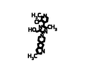 Cc1cnc2c(c1)CC1(CCN(c3nc(C)c(-c4ccnc(C)c4Cl)nc3CO)CC1)C2